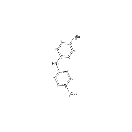 CCCCCCCCc1ccc(Nc2ccc(CCCC)cc2)cc1